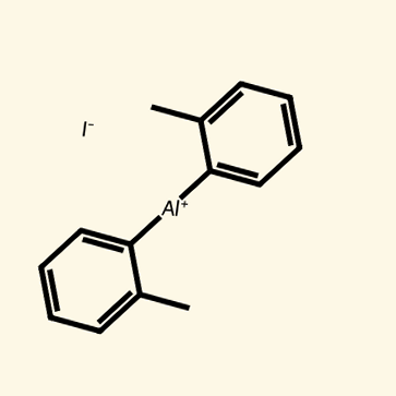 Cc1cccc[c]1[Al+][c]1ccccc1C.[I-]